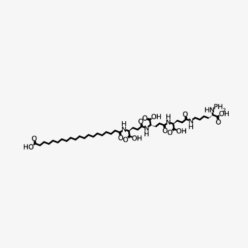 O=C(O)CCCCCCCCCCCCCCCCCCC(=O)N[C@@H](CCC(=O)N[C@@H](CCC(=O)N[C@@H](CCC(=O)NCCCC[C@H](NP)C(=O)O)C(=O)O)C(=O)O)C(=O)O